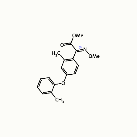 CO/N=C(/C(=O)OC)c1ccc(Oc2ccccc2C)cc1C